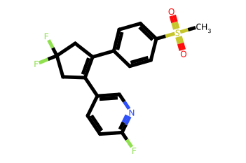 CS(=O)(=O)c1ccc(C2=C(c3ccc(F)nc3)CC(F)(F)C2)cc1